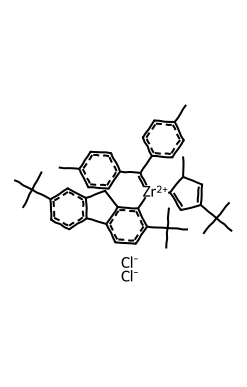 Cc1ccc([C](c2ccc(C)cc2)=[Zr+2]([C]2=CC(C(C)(C)C)=CC2C)[c]2c(C(C)(C)C)ccc3c2Cc2cc(C(C)(C)C)ccc2-3)cc1.[Cl-].[Cl-]